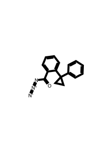 [N-]=[N+]=NC(=O)c1ccccc1C1(c2ccccc2)CC1